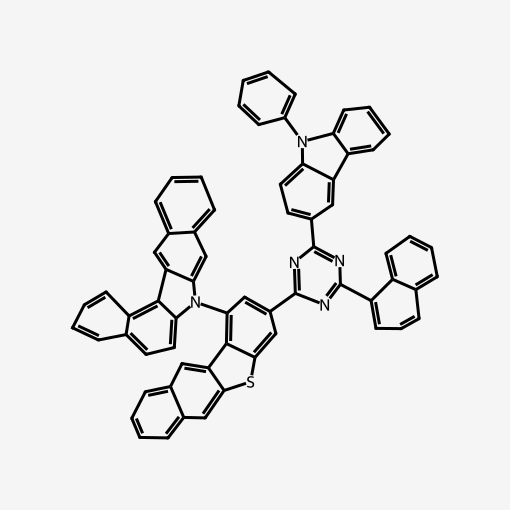 c1ccc(-n2c3ccccc3c3cc(-c4nc(-c5cc(-n6c7cc8ccccc8cc7c7c8ccccc8ccc76)c6c(c5)sc5cc7ccccc7cc56)nc(-c5cccc6ccccc56)n4)ccc32)cc1